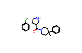 CC1(c2ccccc2)CCN(C(=O)[C@@H]2CNC[C@H]2c2ccccc2Br)CC1